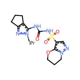 CC(C)n1nc2c(c1NC(=O)NS(=O)(=O)c1cnn3c1OCCC3)CCC2